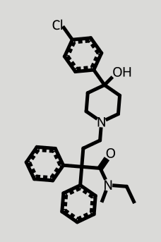 CCN(C)C(=O)C(CCN1CCC(O)(c2ccc(Cl)cc2)CC1)(c1ccccc1)c1ccccc1